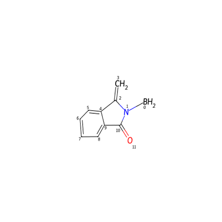 BN1C(=C)c2ccccc2C1=O